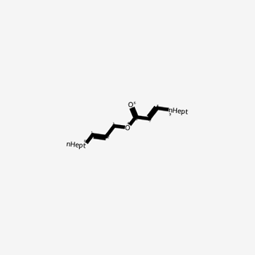 CCCCCCCC=CCOC(=O)C=CCCCCCCC